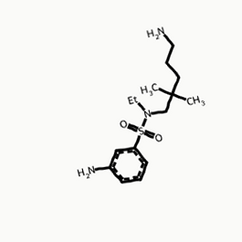 CCN(CC(C)(C)CCCN)S(=O)(=O)c1cccc(N)c1